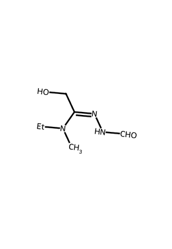 CCN(C)/C(CO)=N\NC=O